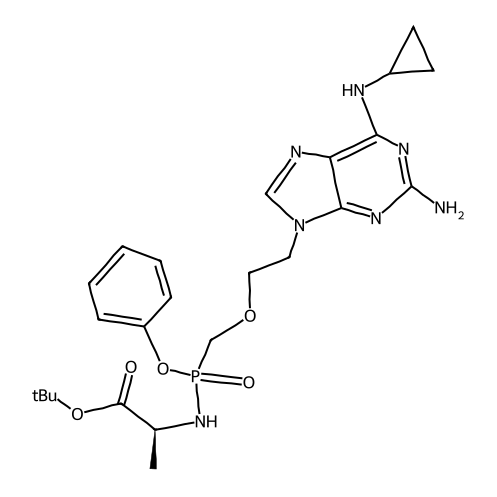 C[C@H](NP(=O)(COCCn1cnc2c(NC3CC3)nc(N)nc21)Oc1ccccc1)C(=O)OC(C)(C)C